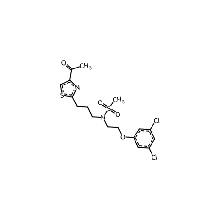 CC(=O)c1csc(CCCN(CCOc2cc(Cl)cc(Cl)c2)S(C)(=O)=O)n1